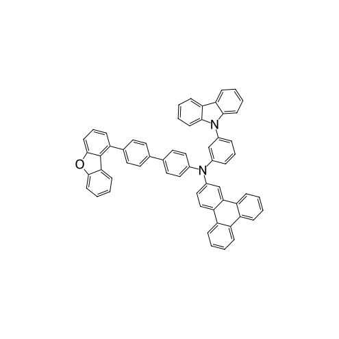 c1cc(N(c2ccc(-c3ccc(-c4cccc5oc6ccccc6c45)cc3)cc2)c2ccc3c4ccccc4c4ccccc4c3c2)cc(-n2c3ccccc3c3ccccc32)c1